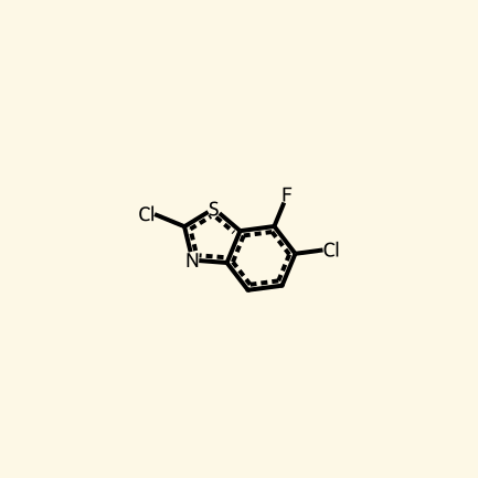 Fc1c(Cl)ccc2nc(Cl)sc12